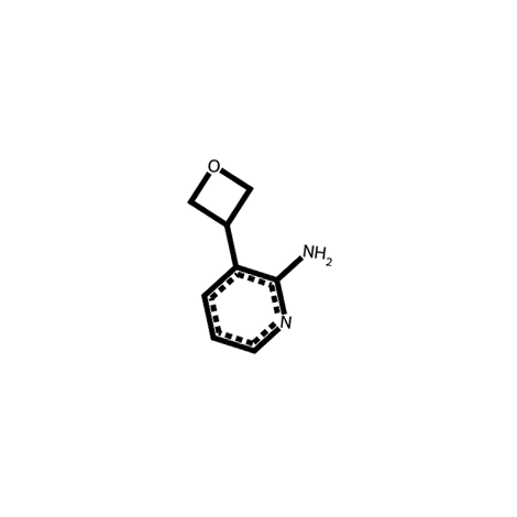 Nc1ncccc1C1COC1